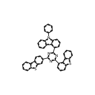 c1ccc(-n2c3ccccc3c3c(-c4nc(-c5ccc6c(c5)sc5ccccc56)nc(-c5cccc6sc7ccccc7c56)n4)cccc32)cc1